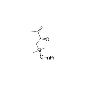 C=C(C)C(=O)C[Si](C)(C)OCCC